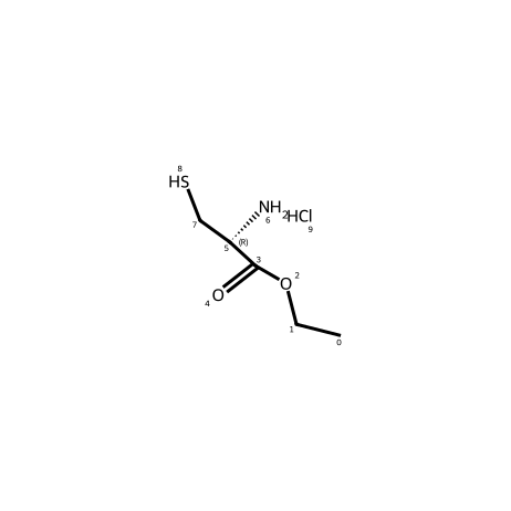 CCOC(=O)[C@@H](N)CS.Cl